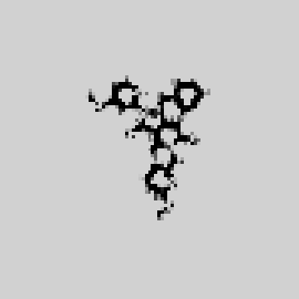 COc1ccnc(-n2c(=O)c3c(C)n(Cc4cccc(OC)n4)c(=O)cc3n2Cc2ccccc2)c1